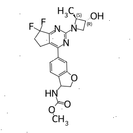 COC(=O)NC1COc2cc(-c3nc(N4C[C@@H](O)[C@@H]4C)nc4c3CCC4(F)F)ccc21